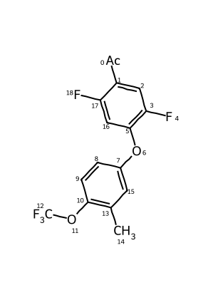 CC(=O)c1cc(F)c(Oc2ccc(OC(F)(F)F)c(C)c2)cc1F